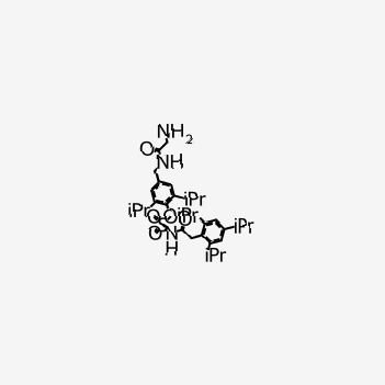 CC(C)c1cc(C(C)C)c(CC(=O)NS(=O)(=O)Oc2c(C(C)C)cc(CNC(=O)CN)cc2C(C)C)c(C(C)C)c1